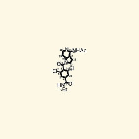 CCNC(=O)c1cc(Cl)c(C(=O)n2ccc3c(NC(C)=O)nccc32)c(Cl)c1